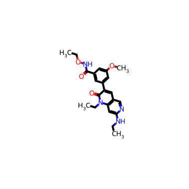 CCNc1cc2c(cn1)cc(-c1cc(OC)cc(C(=O)NOCC)c1)c(=O)n2CC